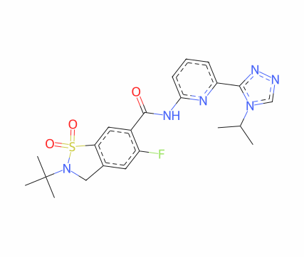 CC(C)n1cnnc1-c1cccc(NC(=O)c2cc3c(cc2F)CN(C(C)(C)C)S3(=O)=O)n1